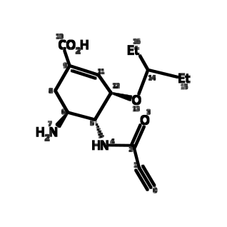 C#CC(=O)N[C@@H]1[C@@H](N)CC(C(=O)O)=C[C@H]1OC(CC)CC